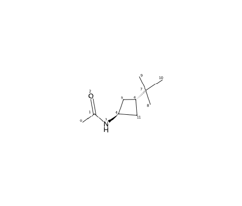 CC(=O)N[C@H]1C[C@H](C(C)(C)C)C1